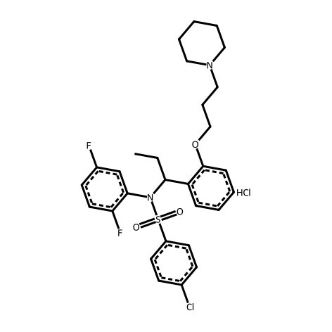 CCC(c1ccccc1OCCCN1CCCCC1)N(c1cc(F)ccc1F)S(=O)(=O)c1ccc(Cl)cc1.Cl